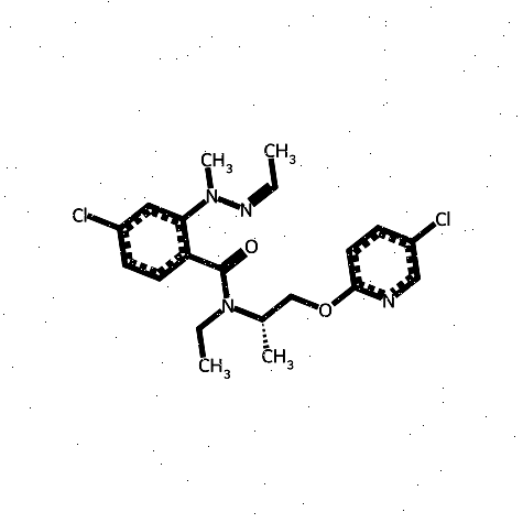 C/C=N\N(C)c1cc(Cl)ccc1C(=O)N(CC)[C@@H](C)COc1ccc(Cl)cn1